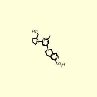 O=C(O)c1cc2c(cn1)CN(c1cc(F)nc(N3CCCC3CO)c1)CC2